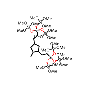 CO[Si](OC)(OC)O[Si](CCC1CC(C)C(CC[Si](O[Si](OC)(OC)OC)(O[Si](OC)(OC)OC)O[Si](OC)(OC)OC)C1)(O[Si](OC)(OC)OC)O[Si](OC)(OC)OC